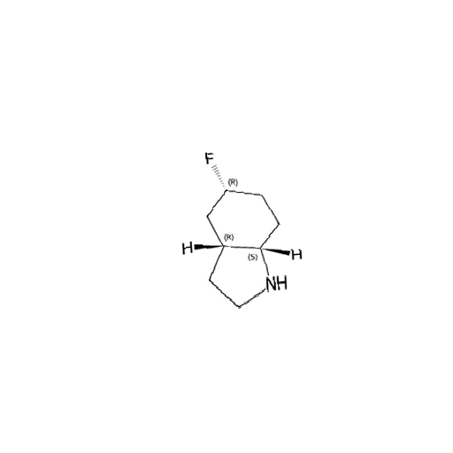 F[C@@H]1CC[C@@H]2NCC[C@@H]2C1